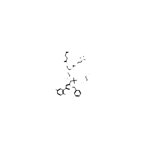 CC(C)(C)[C@@H](NCC[C@@H](CNC(=O)CCC(=O)O)NC(=O)OCC[Si](C)(C)C)c1cc(-c2cc(F)ccc2F)cn1Cc1ccccc1.OCCO